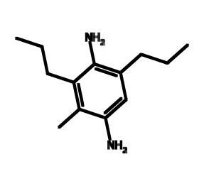 CCCc1cc(N)c(C)c(CCC)c1N